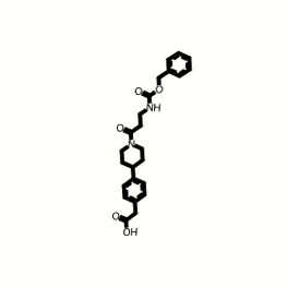 O=C(O)Cc1ccc(C2CCN(C(=O)CCNC(=O)OCc3ccccc3)CC2)cc1